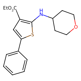 CCOC(=O)c1cc(-c2ccccc2)sc1NC1CCOCC1